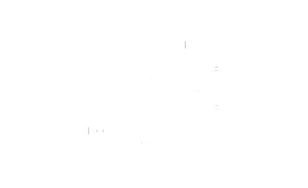 CC1(C)C(C(=O)O)C1C(I)C(F)(F)I